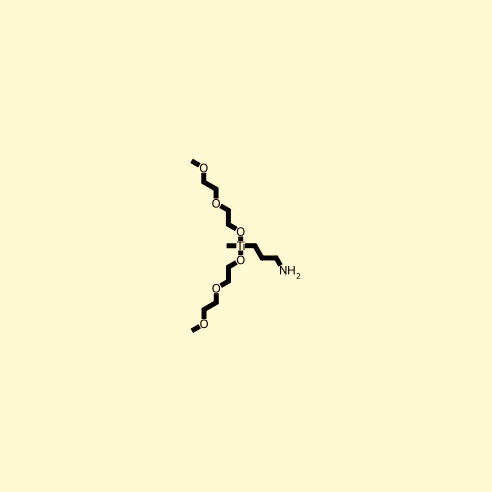 COCCOCC[O][Ti]([CH3])([CH2]CCN)[O]CCOCCOC